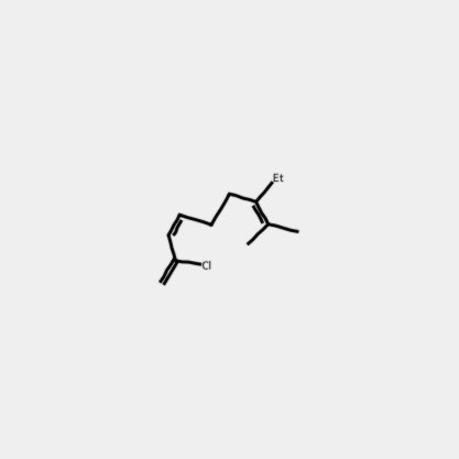 C=C(Cl)/C=C\CCC(CC)=C(C)C